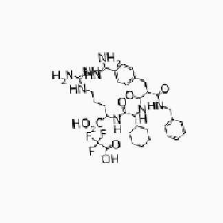 N=C(N)NCCCC(NC(=O)[C@@H](NC(=O)[C@@H](Cc1ccc(C(=N)N)cc1)C(=O)NCc1ccccc1)C1CCCCC1)C(=O)O.O=C(O)C(F)(F)F